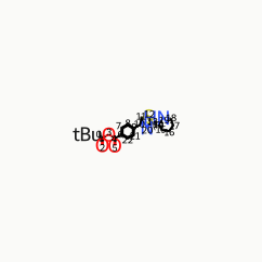 CC(C)(C)C(=O)OC(=O)c1ccc(-c2csc([C@H]3CCCCN3)n2)cc1